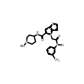 CCN(C(=O)Cn1c(C(=O)NC2CCN(C(C)(C)C)CC2)cc2sccc21)c1cccc(C)c1